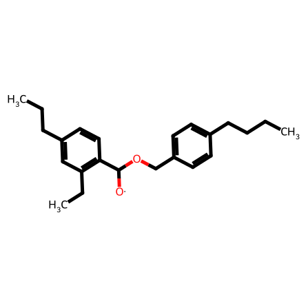 CCCCc1ccc(COC([O])c2ccc(CCC)cc2CC)cc1